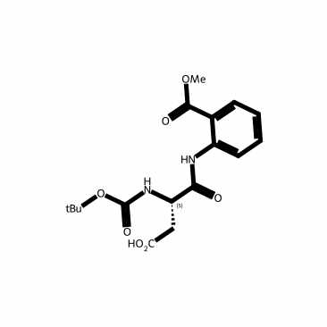 COC(=O)c1ccccc1NC(=O)[C@H](CC(=O)O)NC(=O)OC(C)(C)C